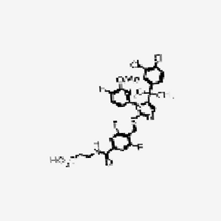 COc1cc(-n2c(C(C)(C)c3ccc(Cl)c(Cl)c3)cnc2SCc2c(F)cc(C(=O)NCCC(=O)O)cc2F)ccc1F